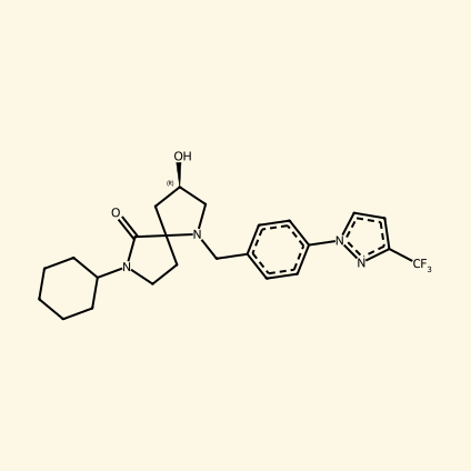 O=C1N(C2CCCCC2)CCC12C[C@@H](O)CN2Cc1ccc(-n2ccc(C(F)(F)F)n2)cc1